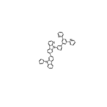 c1ccc(-n2c3ccccc3c3ccc(-c4ccc5c6cccnc6n(-c6cccc(-c7cc(-c8ccccn8)cc(-c8ccccn8)c7)c6)c5c4)cc32)cc1